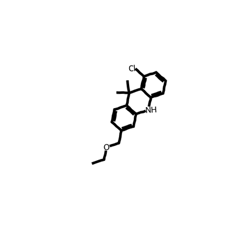 CCOCc1ccc2c(c1)Nc1cccc(Cl)c1C2(C)C